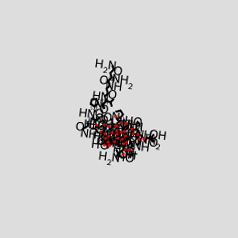 CC[C@H](C)[C@H](NC(=O)[C@H](CCC(N)=O)NC(=O)[C@H](CCC(N)=O)NC(=O)[C@@H]1CCCN1C(=O)[C@@H](NC(=O)CNC(=O)[C@@H](N)CC(N)=O)C(C)C)C(=O)N1CCC[C@H]1C(=O)N[C@@H](CCCCN)C(=O)N[C@@H](C)C(=O)N[C@H](C(=O)N1CCC[C@H]1C(=O)N[C@@H](CC(N)=O)C(=O)N[C@H](C(=O)N[C@@H](CCC(=O)O)C(=O)N[C@@H](CO)C(=O)N[C@@H](CC(C)C)C(=O)N[C@@H](CCC(=O)O)C(=O)N[C@@H](CO)C(=O)N[C@@H](CC(C)C)C(=O)O)[C@@H](C)O)C(C)C